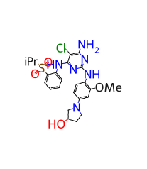 COc1cc(N2CCC(O)C2)ccc1Nc1nc(N)c(Cl)c(Nc2ccccc2S(=O)(=O)C(C)C)n1